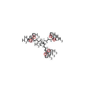 CO[Si](C)(CCCC[Si](C)(CCCC[Si](C)(OC)OC)CCCC[Si](C)(OC)OC)OC